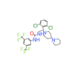 O=C(NCC(c1c(Cl)cccc1Cl)N1CCC(N2CCCCC2)CC1)Nc1cc(C(F)(F)F)cc(C(F)(F)F)c1